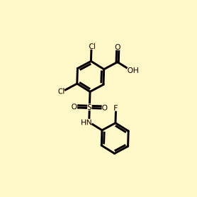 O=C(O)c1cc(S(=O)(=O)Nc2ccccc2F)c(Cl)cc1Cl